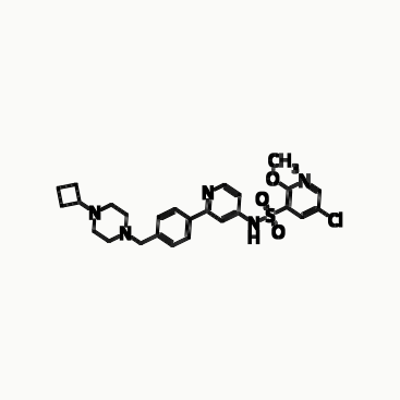 COc1ncc(Cl)cc1S(=O)(=O)Nc1ccnc(-c2ccc(CN3CCN(C4CCC4)CC3)cc2)c1